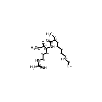 CCC(CCCCCNC=O)C(=O)NC(CCCNC(=N)N)C(=O)OC